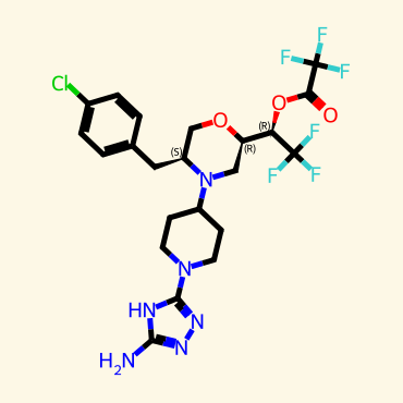 Nc1nnc(N2CCC(N3C[C@H]([C@@H](OC(=O)C(F)(F)F)C(F)(F)F)OC[C@@H]3Cc3ccc(Cl)cc3)CC2)[nH]1